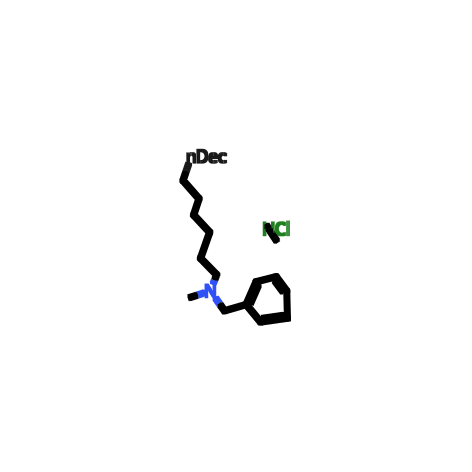 CC.CCCCCCCCCCCCCCCCN(C)Cc1ccccc1.Cl